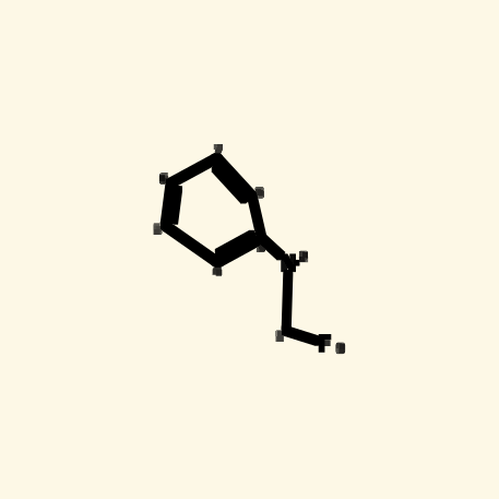 FC[N]c1ccccc1